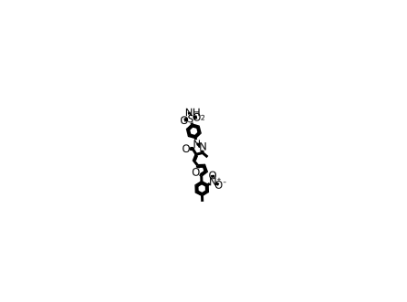 CC1=NN(c2ccc(S(N)(=O)=O)cc2)C(=O)/C1=C/c1ccc(-c2ccc(C)cc2[N+](=O)[O-])o1